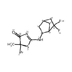 CC(C)C1(C)SC(NC2CC3CC2C(F)(F)C3)=NC1=O